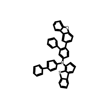 c1ccc(-c2ccc(N(c3ccc(-c4ccc5oc6ccccc6c5c4)c(-c4ccccc4)c3)c3cccc4c3sc3ccccc34)cc2)cc1